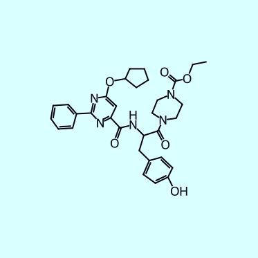 CCOC(=O)N1CCN(C(=O)C(Cc2ccc(O)cc2)NC(=O)c2cc(OC3CCCC3)nc(-c3ccccc3)n2)CC1